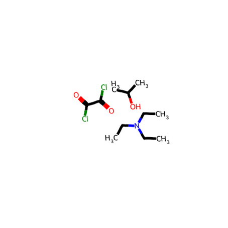 CC(C)O.CCN(CC)CC.O=C(Cl)C(=O)Cl